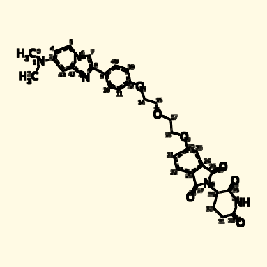 CN(C)c1ccn2cc(-c3ccc(OCCOCCOc4ccc5c(c4)C(=O)N(C4CCC(=O)NC4=O)C5=O)cc3)nc2c1